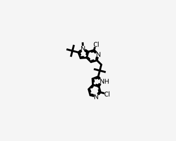 Cn1c(C(C)(C)C)cc2cc(CC(C)(C)c3cc4ccnc(Cl)c4[nH]3)nc(Cl)c21